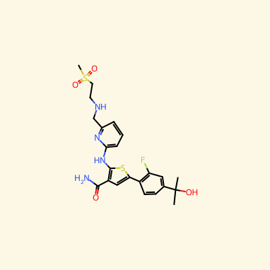 CC(C)(O)c1ccc(-c2cc(C(N)=O)c(Nc3cccc(CNCCS(C)(=O)=O)n3)s2)c(F)c1